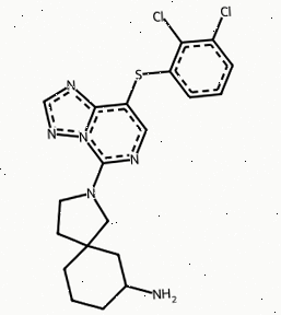 NC1CCCC2(CCN(c3ncc(Sc4cccc(Cl)c4Cl)c4ncnn34)C2)C1